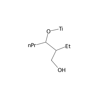 CCCC([O][Ti])C(CC)CO